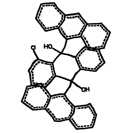 OC1(c2c3ccccc3cc3ccccc23)c2ccccc2C(O)(c2c3ccccc3cc3ccccc23)c2c(Cl)cccc21